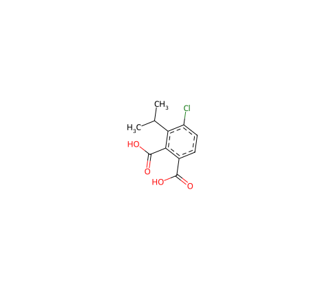 CC(C)c1c(Cl)ccc(C(=O)O)c1C(=O)O